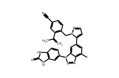 C=C(C)c1cc(C#N)ccc1Cn1nccc1-c1cc(F)c2nnn(-c3ccc4[nH]c(=O)[nH]c4c3)c2c1